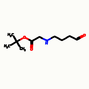 CC(C)(C)OC(=O)CNCCCC=O